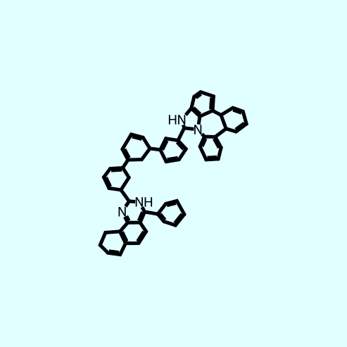 C1=CC(c2cccc(C3Nc4cccc5c4N3c3ccccc3C3C=CC=CC53)c2)CC(C2=CC=CC(C3N=c4c5c(ccc4=C(c4ccccc4)N3)C=CCC5)C2)=C1